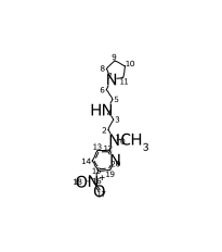 CN(CCNCCN1CCCC1)c1ccc([N+](=O)[O-])cn1